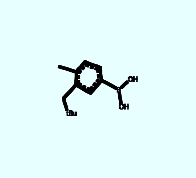 Cc1ccc(B(O)O)cc1CC(C)(C)C